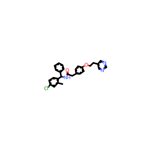 Cc1cc(Cl)ccc1C(NC(=O)Cc1ccc(OCCc2cncnc2)cc1)c1ccccc1